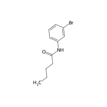 CCCCC(=O)Nc1cccc(Br)c1